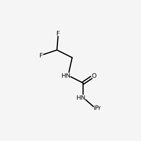 CC(C)NC(=O)NCC(F)F